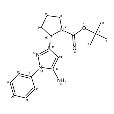 CC(C)(C)OC(=O)N1CCC[C@H]1c1cc(N)n(-c2ccccc2)n1